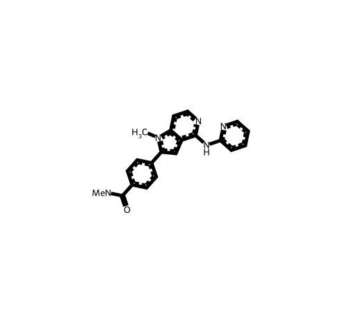 CNC(=O)c1ccc(-c2cc3c(Nc4ccccn4)nccc3n2C)cc1